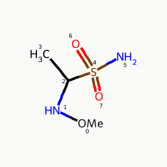 CONC(C)S(N)(=O)=O